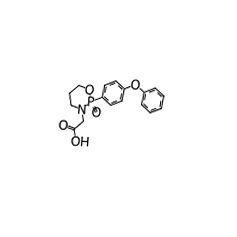 O=C(O)CN1CCCOP1(=O)c1ccc(Oc2ccccc2)cc1